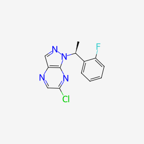 C[C@@H](c1ccccc1F)n1ncc2ncc(Cl)nc21